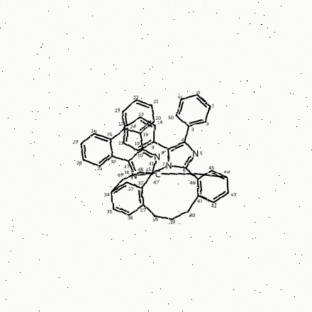 c1ccc(-c2nc3n(c2-c2ccccc2)C2(N=c4c(c5ccccc5c5ccccc45)=N2)c2cc4ccc2CCCc2ccc(cc2-3)CCC4)cc1